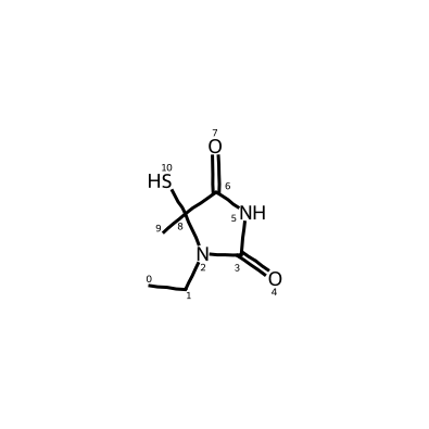 CCN1C(=O)NC(=O)C1(C)S